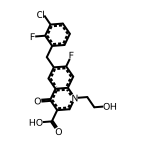 O=C(O)c1cn(CCO)c2cc(F)c(Cc3cccc(Cl)c3F)cc2c1=O